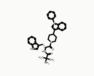 CC(C)(N)C(=O)N[C@H](Cc1c[nH]c2ccccc12)C(=O)N1CCC(c2cn(-c3ccccc3)c3ccccc23)CC1